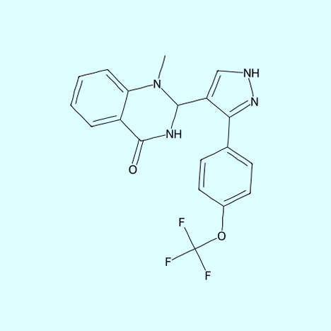 CN1c2ccccc2C(=O)NC1c1c[nH]nc1-c1ccc(OC(F)(F)F)cc1